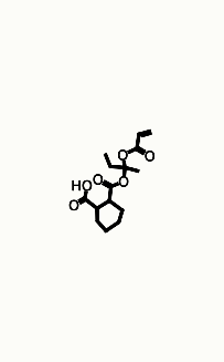 C=CC(=O)OC(C)(CC)OC(=O)C1CCCCC1C(=O)O